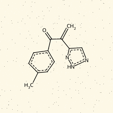 C=C(C(=O)c1ccc(C)cc1)c1cn[nH]n1